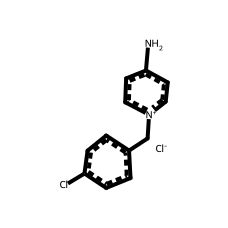 Nc1cc[n+](Cc2ccc(Cl)cc2)cc1.[Cl-]